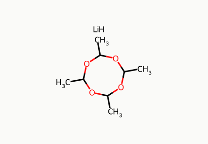 CC1OC(C)OC(C)OC(C)O1.[LiH]